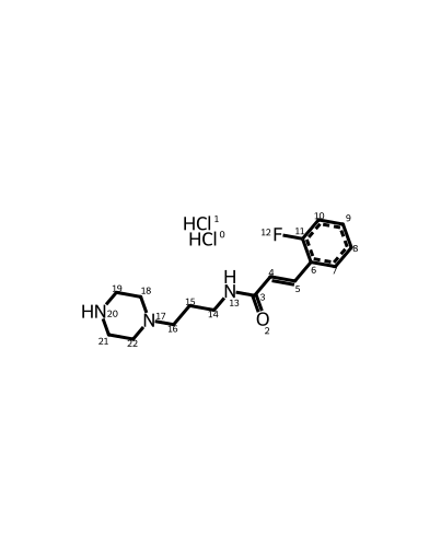 Cl.Cl.O=C(C=Cc1ccccc1F)NCCCN1CCNCC1